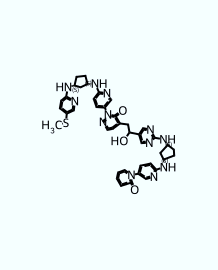 CSc1ccc(N[C@H]2CC[C@H](Nc3ccc(-n4nccc(CC(O)c5cnc(N[C@H]6CC[C@H](Nc7ccc(-n8ccccc8=O)cn7)C6)nc5)c4=O)cn3)C2)nc1